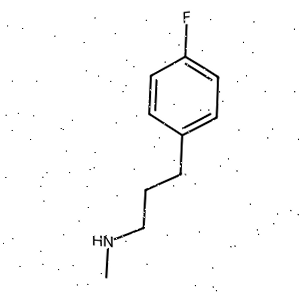 CNCC[CH]c1ccc(F)cc1